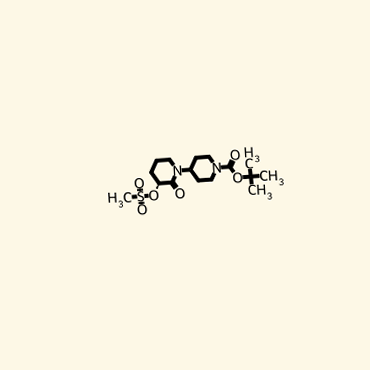 CC(C)(C)OC(=O)N1CCC(N2CCC[C@@H](OS(C)(=O)=O)C2=O)CC1